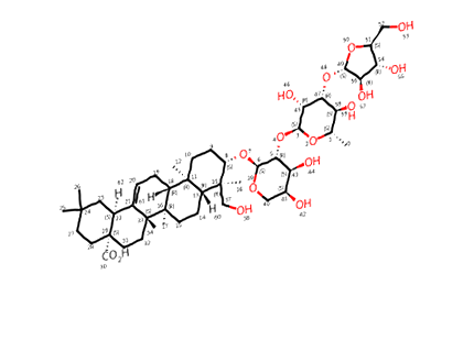 C[C@@H]1O[C@@H](O[C@H]2[C@H](O[C@H]3CC[C@@]4(C)[C@@H](CC[C@]5(C)[C@@H]4CC=C4[C@@H]6CC(C)(C)CC[C@]6(C(=O)O)CC[C@]45C)[C@]3(C)CO)OC[C@H](O)[C@@H]2O)[C@H](O)[C@H](O[C@@H]2O[C@@H](CO)[C@H](O)[C@H]2O)[C@H]1O